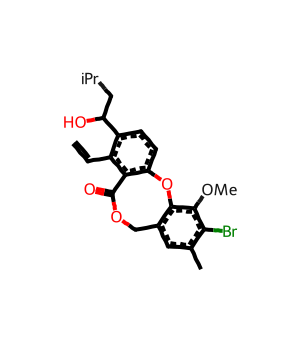 C=Cc1c(C(O)CC(C)C)ccc2c1C(=O)OCc1cc(C)c(Br)c(OC)c1O2